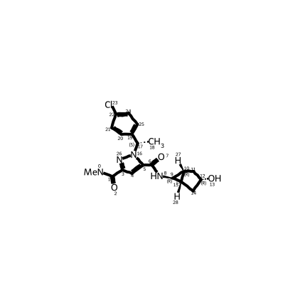 CNC(=O)c1cc(C(=O)N[C@H]2[C@@H]3C[C@H](O)C[C@@H]32)n([C@@H](C)c2ccc(Cl)cc2)n1